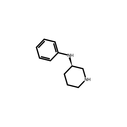 c1ccc(N[C@@H]2CCCNC2)cc1